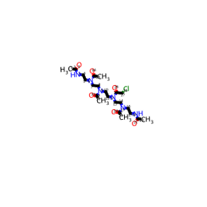 CC(=O)NCCN(CCN(CCN(CCN(CCNC(C)=O)C(C)=O)C(=O)CCl)C(C)=O)C(C)=O